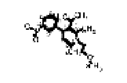 COCCN1C(C)=CC(c2cccc([N+](=O)[O-])c2)C(C(C)C)=C1C